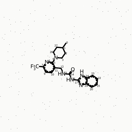 CC1CCN(c2nc(C(F)(F)F)ccc2CNC(=O)Nc2nc3ccccc3[nH]2)CC1